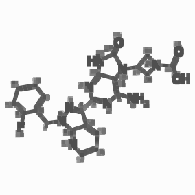 Nc1nc(-c2nn(Cc3ccccc3F)c3ncccc23)nc2[nH]c(=O)n(C3CN(C(=O)O)C3)c12